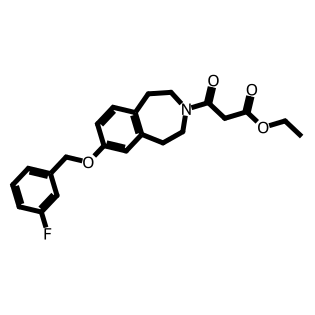 CCOC(=O)CC(=O)N1CCc2ccc(OCc3cccc(F)c3)cc2CC1